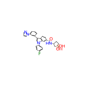 O=C(NC1CCS(O)(O)C1)c1ccc2c(-c3cccc(-n4cccn4)c3)cn(-c3ccc(F)cc3)c2c1